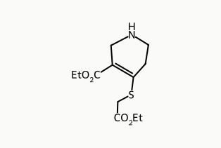 CCOC(=O)CSC1=C(C(=O)OCC)CNCC1